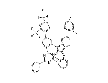 Cc1ccc(-c2ccc3c4ccccc4n(-c4cc(-c5ccc(C(F)(F)F)cc5C(F)(F)F)ccc4-c4nc(-c5ccccc5)nc(-c5ccccc5)n4)c3c2)c(C)c1